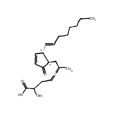 CCCCCCC=C[C@H]1C=CC(=O)[C@@H]1CC(C)=C=CCC(O)C(=O)O